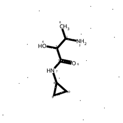 CC(N)C(O)C(=O)NC1CC1